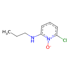 CCCNc1cccc(Cl)[n+]1[O-]